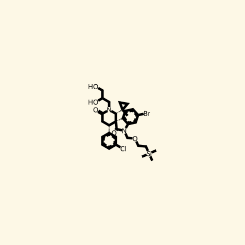 CC1([C@H]2N(CC(O)CO)C(=O)C[C@@H](c3cccc(Cl)c3)[C@]23C(=O)N(COCC[Si](C)(C)C)c2cc(Br)ccc23)CC1